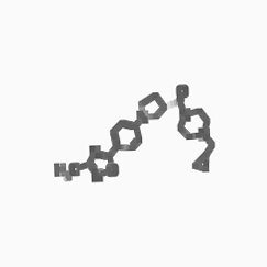 Cc1noc(-c2ccc(N3CC[C@H](C(=O)N4CCN(CC5CC5)CC4)C3)cc2)n1